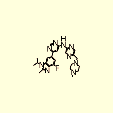 Cc1nc2c(F)cc(-c3cc(Nc4cnc(CN5CCN(C)CC5)cn4)ncn3)cc2n1C(C)C